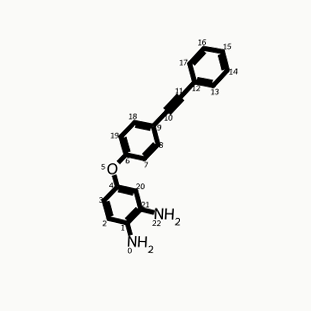 Nc1ccc(Oc2ccc(C#Cc3ccccc3)cc2)cc1N